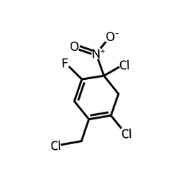 O=[N+]([O-])C1(Cl)CC(Cl)=C(CCl)C=C1F